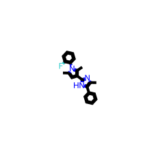 Cc1nc(-c2cc(C)n(-c3ccccc3F)c2C)[nH]c1-c1ccccc1